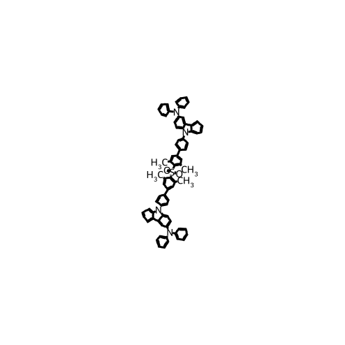 Cc1cc(-c2ccc(-n3c4ccccc4c4cc(N(c5ccccc5)c5ccccc5)ccc43)cc2)cc(C)c1S(=O)(=O)c1c(C)cc(-c2ccc(-n3c4ccccc4c4cc(N(c5ccccc5)c5ccccc5)ccc43)cc2)cc1C